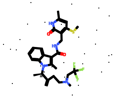 C=C(CCN(C)CC(F)(F)F)[C@@H](C)n1c(C)c(C(=O)NCc2c(SC)cc(C)[nH]c2=O)c2ccccc21